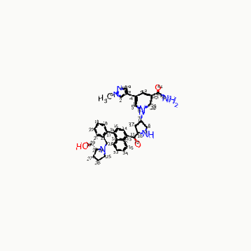 Cn1cc(C2=CN([C@H]3CNC(C(=O)c4ccc(-c5ccccc5CN5CCC[C@@H]5CO)c5ccccc45)C3)CC(C(N)=O)=C2)cn1